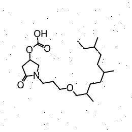 CCC(C)CCC(C)CCC(C)COCCCN1CC(OC(=O)O)CC1=O